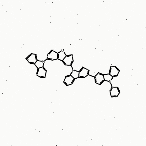 c1ccc(-n2c3ccccc3c3cc(-c4ccc5c(c4)c4ccccc4n5-c4ccc5oc6ccc(-n7c8ccccc8c8ccccc87)cc6c5c4)ccc32)cc1